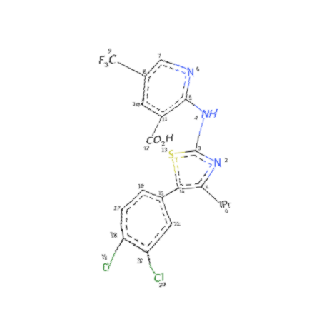 CC(C)c1nc(Nc2ncc(C(F)(F)F)cc2C(=O)O)sc1-c1ccc(Cl)c(Cl)c1